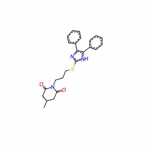 CC1CC(=O)N(CCCSc2nc(-c3ccccc3)c(-c3ccccc3)[nH]2)C(=O)C1